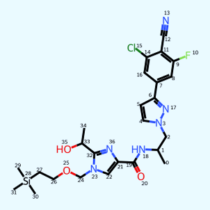 CC(Cn1ccc(-c2cc(F)c(C#N)c(Cl)c2)n1)NC(=O)c1cn(COCC[Si](C)(C)C)c(C(C)O)n1